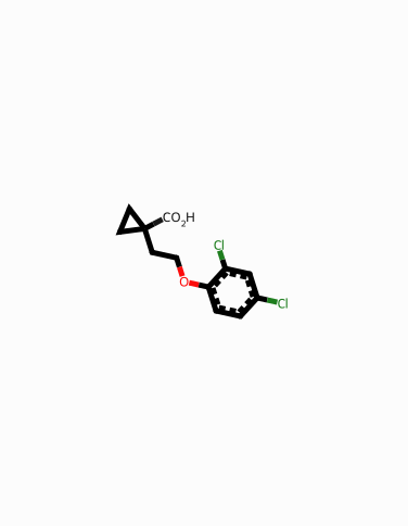 O=C(O)C1(CCOc2ccc(Cl)cc2Cl)CC1